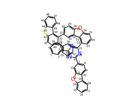 c1ccc(-c2nc(-c3ccc4c(c3)oc3ccccc34)nc(-c3cccc4oc5ccc(-c6c(-c7ccccc7)ccc7sc8ccccc8c67)cc5c34)n2)cc1